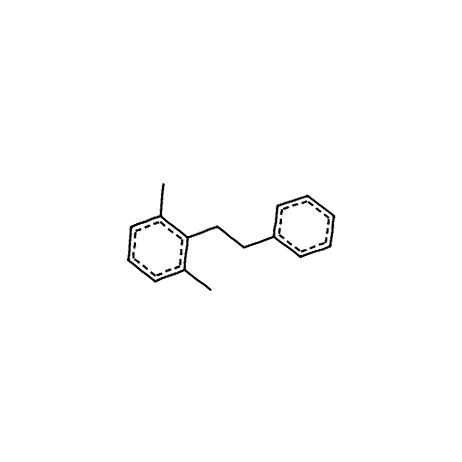 Cc1cccc(C)c1CCc1ccccc1